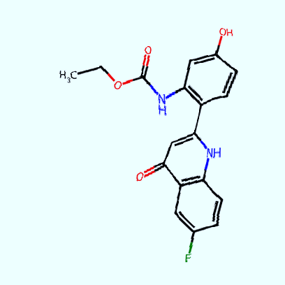 CCOC(=O)Nc1cc(O)ccc1-c1cc(=O)c2cc(F)ccc2[nH]1